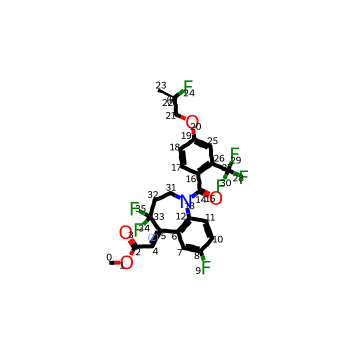 COC(=O)/C=C1/c2cc(F)ccc2N(C(=O)c2ccc(OC[C@@H](C)F)cc2C(F)(F)F)CCC1(F)F